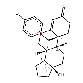 C[C@@]12CCC[C@H]1[C@@H]1CCC3=CC(=O)CC[C@]3(Cc3ccc(O)cc3)[C@@H]1CC2